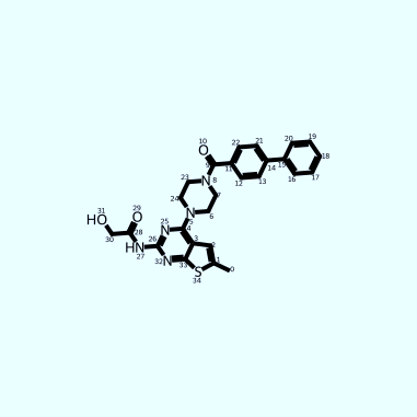 Cc1cc2c(N3CCN(C(=O)c4ccc(-c5ccccc5)cc4)CC3)nc(NC(=O)CO)nc2s1